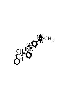 CC(CC1CCCCC1)NCc1ccccc1NS(=O)(=O)c1ccc(-c2nnn(C)n2)cc1